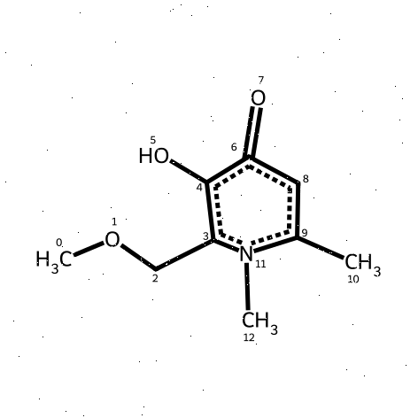 COCc1c(O)c(=O)cc(C)n1C